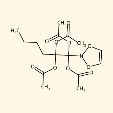 CCCCC(OC(C)=O)(OC(C)=O)C(OC(C)=O)(OC(C)=O)N1OC=CO1